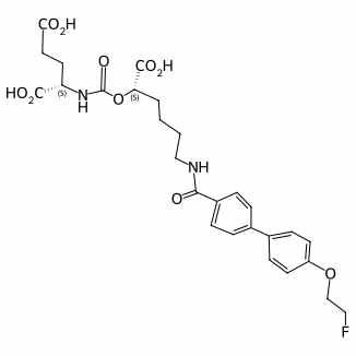 O=C(O)CC[C@H](NC(=O)O[C@@H](CCCCNC(=O)c1ccc(-c2ccc(OCCF)cc2)cc1)C(=O)O)C(=O)O